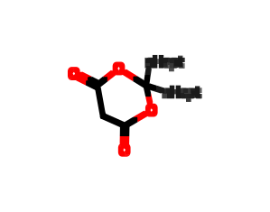 CCCCCCCC1(CCCCCCC)OC(=O)CC(=O)O1